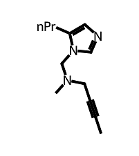 CC#CCN(C)Cn1cncc1CCC